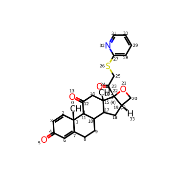 CC12C=CC(=O)C=C1CCC1C2C(=O)CC2(C)C1C[C@H]1CO[C@]12C(=O)CSc1ccccn1